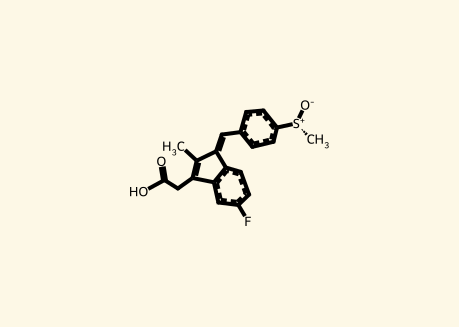 CC1=C(CC(=O)O)c2cc(F)ccc2/C1=C\c1ccc([S@@+](C)[O-])cc1